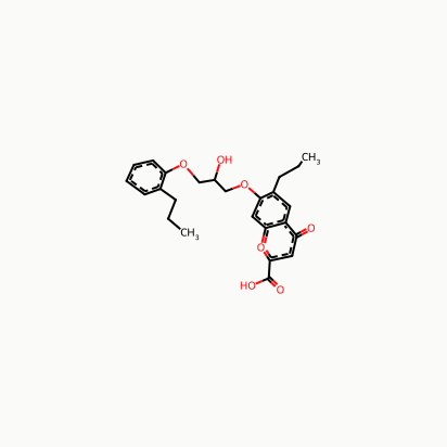 CCCc1ccccc1OCC(O)COc1cc2oc(C(=O)O)cc(=O)c2cc1CCC